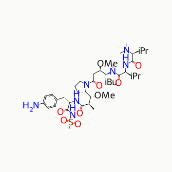 CC[C@H](C)[C@@H]([C@@H](CC(=O)N1CCC[C@H]1[C@H](OC)[C@@H](C)C(=O)N[C@@H](Cc1ccc(N)cc1)C(=O)NS(C)(=O)=O)OC)N(C)C(=O)[C@@H](NC(=O)[C@H](C(C)C)N(C)C)C(C)C